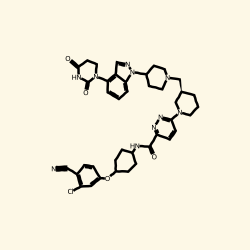 N#Cc1ccc(OC2CCC(NC(=O)c3ccc(N4CCC[C@H](CN5CCC(n6ncc7c(N8CCC(=O)NC8=O)cccc76)CC5)C4)nn3)CC2)cc1Cl